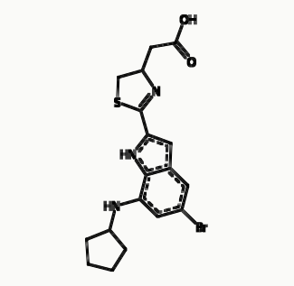 O=C(O)CC1CSC(c2cc3cc(Br)cc(NC4CCCC4)c3[nH]2)=N1